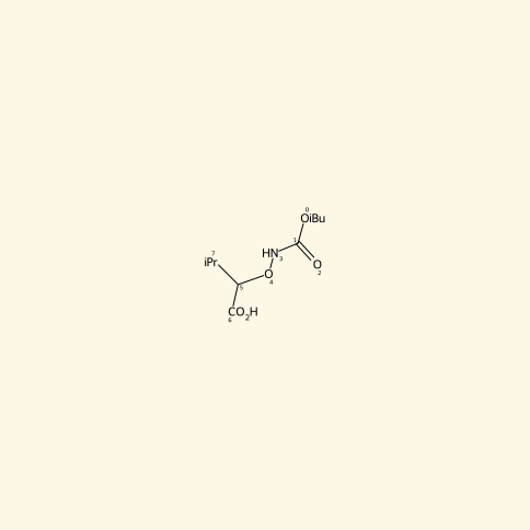 CC(C)COC(=O)NOC(C(=O)O)C(C)C